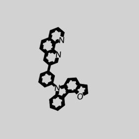 c1cc(-c2cnc3c(ccc4cccnc43)c2)cc(-n2c3ccccc3c3c4occc4ccc32)c1